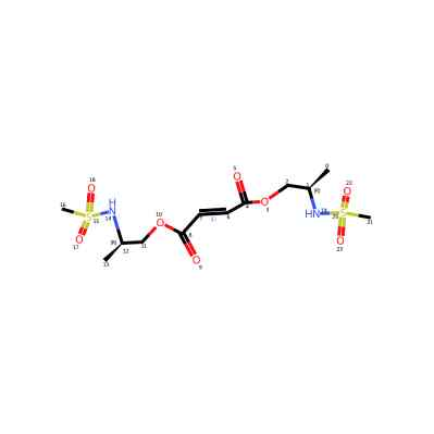 C[C@H](COC(=O)/C=C/C(=O)OC[C@@H](C)NS(C)(=O)=O)NS(C)(=O)=O